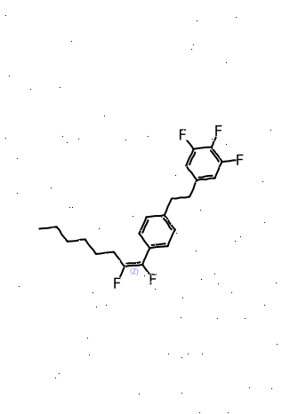 CCCCCC/C(F)=C(/F)c1ccc(CCc2cc(F)c(F)c(F)c2)cc1